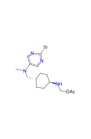 CC(=O)OCN[C@H]1CC[C@H](CN(C)c2cnc(Br)nc2)CC1